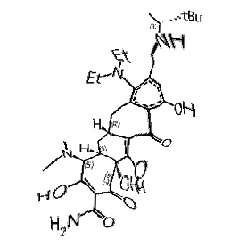 CCN(CC)c1c(CN[C@H](C)C(C)(C)C)cc(O)c2c1C[C@H]1C[C@H]3[C@H](N(C)C)C(O)=C(C(N)=O)C(=O)[C@@]3(O)C(O)=C1C2=O